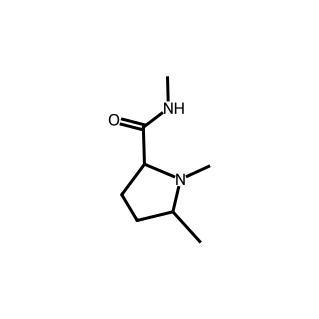 CNC(=O)C1CCC(C)N1C